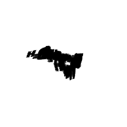 CN(C)S(=O)(=O)NCCNC(=O)Nc1ccc2cc1CCc1cccc(c1)Nc1ncc(Cl)c(n1)N2